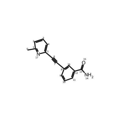 Cc1cccc(C#Cc2cccc(C(N)=O)c2)n1